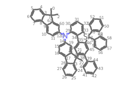 CC1(C)c2ccccc2-c2ccc(N(c3ccc4c(c3)C(C)(C)c3ccccc3-4)c3cccc4c3-c3ccc(-c5ccccc5)cc3[Si]4(c3ccccc3)c3ccccc3)cc21